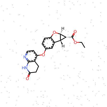 CCOC(=O)[C@H]1[C@@H]2Oc3ccc(Oc4ccnc5c4CCC(=O)N5)cc3[C@H]21